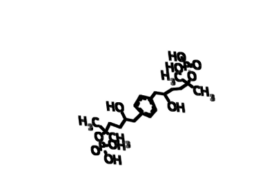 CC(C)(CCC(O)Cc1ccc(CC(O)CCC(C)(C)OP(=O)(O)O)cc1)OP(=O)(O)O